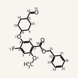 COc1cc(F)c(OC2CCC(C=O)CC2)cc1C(=O)OCc1ccccc1